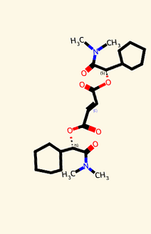 CN(C)C(=O)[C@@H](OC(=O)/C=C/C(=O)O[C@H](C(=O)N(C)C)C1CCCCC1)C1CCCCC1